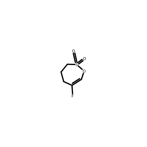 O=S1(=O)CCCC(F)=CO1